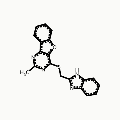 Cc1nc(SCc2nc3ccccc3[nH]2)c2oc3ccccc3c2n1